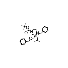 CC(C)C[C@]1(COCc2ccccc2)CN(C(=O)OC(C)(C)C)CCN1Cc1ccccc1